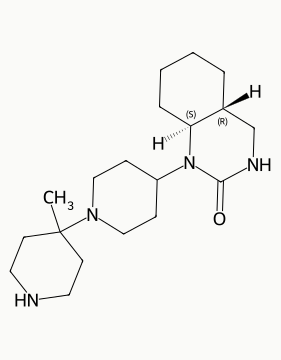 CC1(N2CCC(N3C(=O)NC[C@H]4CCCC[C@@H]43)CC2)CCNCC1